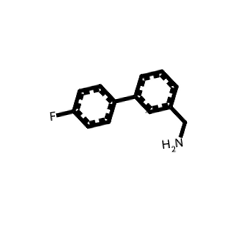 NCc1[c]c(-c2ccc(F)cc2)ccc1